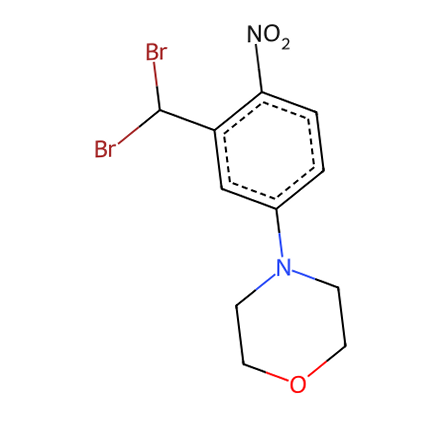 O=[N+]([O-])c1ccc(N2CCOCC2)cc1C(Br)Br